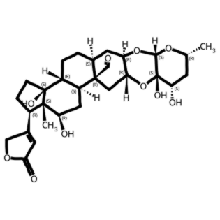 C[C@@H]1C[C@H](O)[C@]2(O)O[C@@H]3C[C@@]4(C=O)[C@@H](CC[C@@H]5[C@@H]4C[C@@H](O)[C@]4(C)[C@@H](C6=CC(=O)OC6)CC[C@]54O)C[C@H]3O[C@@H]2O1